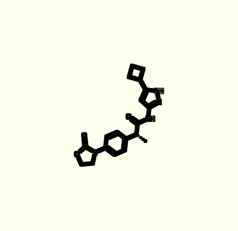 C[C@@H](C(=O)Nc1cc(C2CCC2)[nH]n1)c1ccc(N2CCOC2=O)cc1